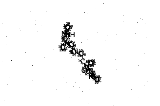 CC/C(=C\C=C/Cc1cccc(C2=CC(c3cccc(N(C4=CC5NN(c6ccccc6)N=C5C=C4)c4ccccc4)c3)CC=C2)c1)N(C1=Cc2nn(-c3ccccc3)nc2CC1)c1ccccc1